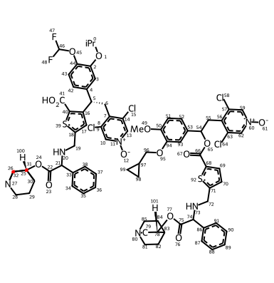 CC(C)Oc1cc([C@H](Cc2c(Cl)c[n+]([O-])cc2Cl)c2cc(CNC(C(=O)O[C@H]3CN4CCC3CC4)c3ccccc3)sc2C(=O)O)ccc1OC(F)F.COc1ccc(C(Cc2c(Cl)c[n+]([O-])cc2Cl)OC(=O)c2ccc(CNC(C(=O)O[C@H]3CN4CCC3CC4)c3ccccc3)s2)cc1OCC1CC1